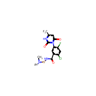 CC(C)N(C)SNC(=O)c1cc(-n2c(=O)cc(C(F)(F)F)[nH]c2=O)c(F)cc1Cl